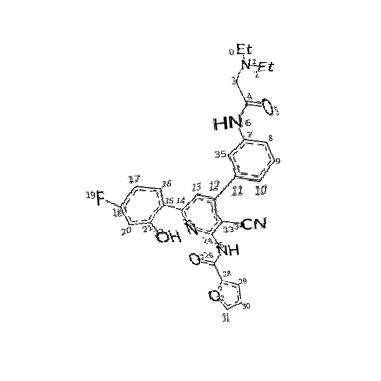 CCN(CC)CC(=O)Nc1cccc(-c2cc(-c3ccc(F)cc3O)nc(NC(=O)c3ccco3)c2C#N)c1